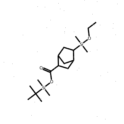 CCO[Si](C)(C)C1CC2CC1CC2C(=O)O[Si](C)(C)C(C)(C)C